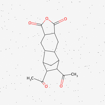 CC(=O)C1C2CC(C3CC4C(=O)OC(=O)C4CC32)C1C(C)=O